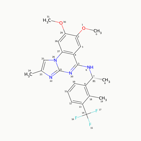 COc1cc2c(N[C@H](C)c3cccc(C(F)(F)F)c3C)nc3nc(C)cn3c2cc1OC